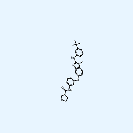 Cn1c(Nc2cccc(C(C)(C)C)c2)nc2cc(Oc3ccnc(NC(=O)C4CCOC4)c3)ccc21